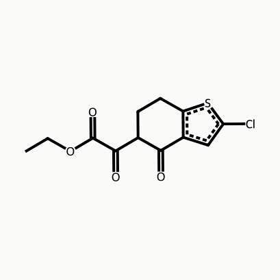 CCOC(=O)C(=O)C1CCc2sc(Cl)cc2C1=O